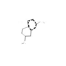 CNC1CCc2ccc(OC)cc2C1.Cl